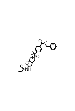 C=CC(=O)NC1CC2CN(S(=O)(=O)c3ccc(C(=O)N(C)Cc4ccccc4)cc3)CC2O1